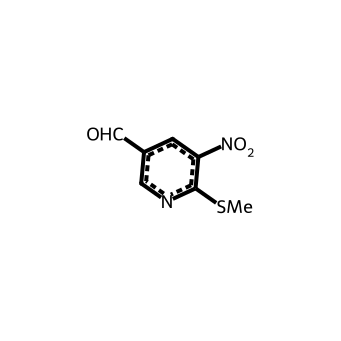 CSc1ncc(C=O)cc1[N+](=O)[O-]